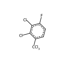 Fc1ccc(C(Cl)(Cl)Cl)c(Cl)c1Cl